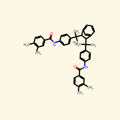 Cc1ccc(C(=O)Nc2ccc(C(C)(C)C3c4cccc(c4)C3C(C)(C)c3ccc(NC(=O)c4ccc(C)c(C)c4)cc3)cc2)cc1C